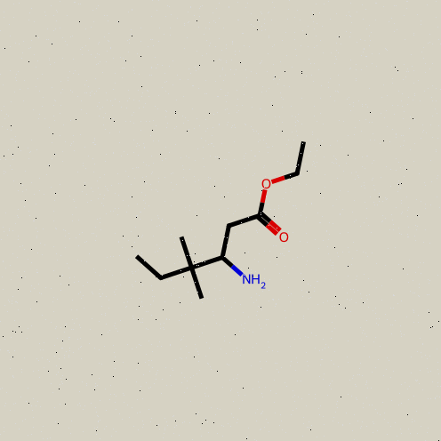 CCOC(=O)CC(N)C(C)(C)CC